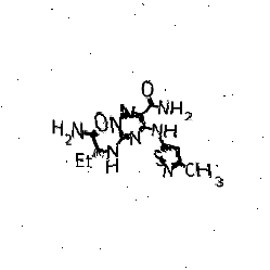 CC[C@@H](Nc1nnc(C(N)=O)c(Nc2cc(C)ns2)n1)C(N)=O